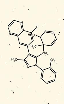 Cc1nn(-c2ccccc2C(F)(F)F)c(NC2(C)C=CC=CC2C(=O)O)c1-c1cc(F)c2nccnc2c1